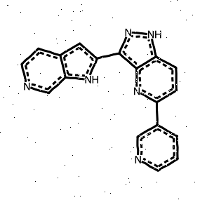 c1cncc(-c2ccc3[nH]nc(-c4cc5ccncc5[nH]4)c3n2)c1